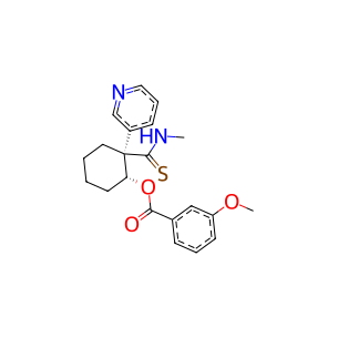 CNC(=S)[C@]1(c2cccnc2)CCCC[C@H]1OC(=O)c1cccc(OC)c1